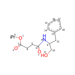 CC(C)OC(=O)CCC(=O)NC(CO)Cc1ccccc1